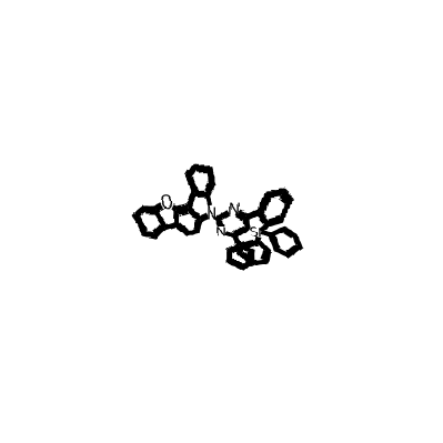 c1ccc(-c2nc(-n3c4ccccc4c4c5oc6ccccc6c5ccc43)nc3c2[Si](c2ccccc2)(c2ccccc2)c2ccccc2-3)cc1